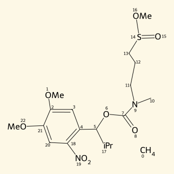 C.COc1cc(C(OC(=O)N(C)CCCS(=O)OC)C(C)C)c([N+](=O)[O-])cc1OC